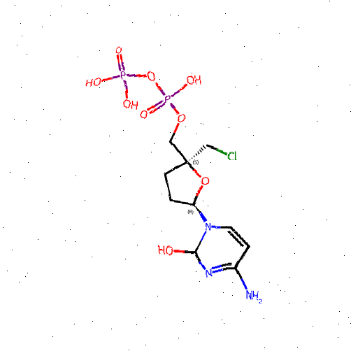 NC1=NC(O)N([C@H]2CC[C@@](CCl)(COP(=O)(O)OP(=O)(O)O)O2)C=C1